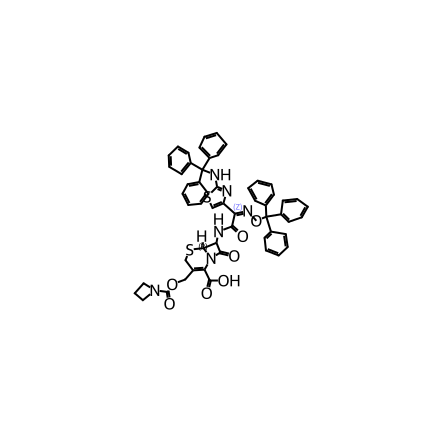 O=C(O)C1=C(COC(=O)N2CCC2)CS[C@@H]2C(NC(=O)/C(=N\OC(c3ccccc3)(c3ccccc3)c3ccccc3)c3csc(NC(c4ccccc4)(c4ccccc4)c4ccccc4)n3)C(=O)N12